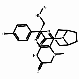 CC(C)NC[C@@H](C(=O)N1CC2CCC(C1)N2c1ncnc2c1N(C)CC(=O)N2)c1ccc(Cl)cc1